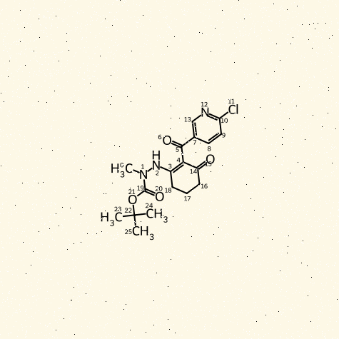 CN(NC1=C(C(=O)c2ccc(Cl)nc2)C(=O)CCC1)C(=O)OC(C)(C)C